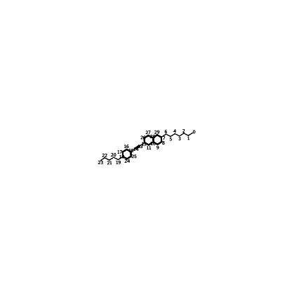 CCCCCCCc1ccc2cc(C#Cc3ccc(CCCCC)cc3)ccc2c1